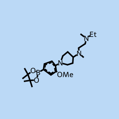 CCN(C)CCN(C)C1CCN(c2ccc(B3OC(C)(C)C(C)(C)O3)cc2OC)CC1